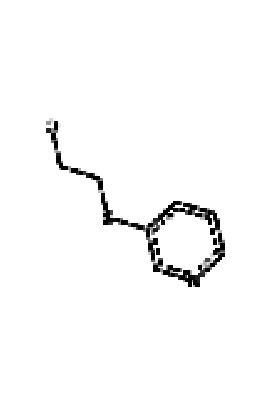 [O]CCSc1cccnc1